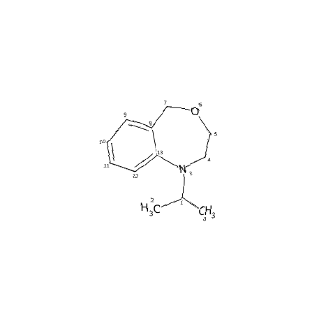 CC(C)N1CCOCc2ccccc21